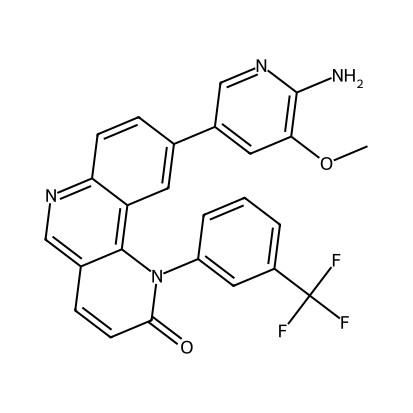 COc1cc(-c2ccc3ncc4ccc(=O)n(-c5cccc(C(F)(F)F)c5)c4c3c2)cnc1N